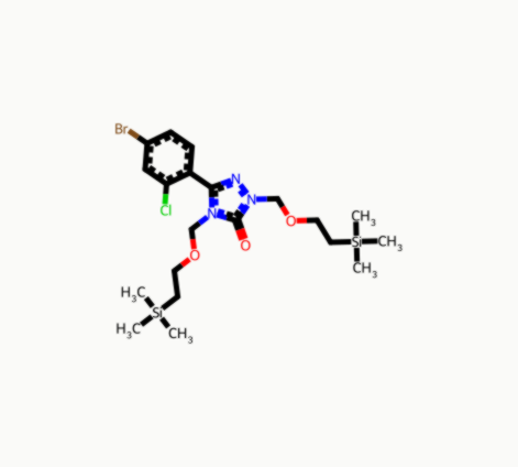 C[Si](C)(C)CCOCn1nc(-c2ccc(Br)cc2Cl)n(COCC[Si](C)(C)C)c1=O